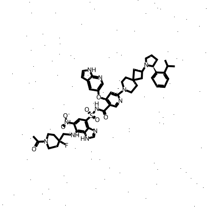 CC(=O)N1CCC(F)(CNc2c([N+](=O)[O-])cc(S(=O)(=O)NC(=O)c3cnc(N4CCC5(CC4)CC(N4CCC[C@H]4c4ccccc4C(C)C)C5)cc3Oc3cnc4[nH]ccc4c3)c3nc[nH]c23)CC1